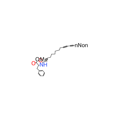 CCCCCCCCCC#CC#CCCCCCCCCC(=O)NC(Cc1ccccc1)C(=O)OC